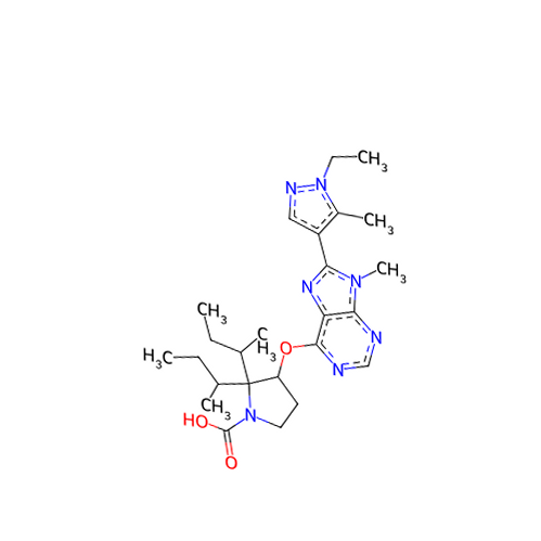 CCC(C)C1(C(C)CC)C(Oc2ncnc3c2nc(-c2cnn(CC)c2C)n3C)CCN1C(=O)O